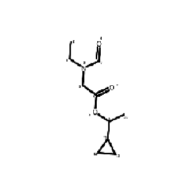 CCN(C=O)CC(=O)OC(C)C1CC1